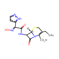 CC(=O)OCC1=C(C(=O)O)N2C(=O)C(NC(=O)C(=NO)c3ccn[nH]3)[C@@H]2SC1